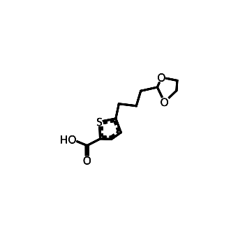 O=C(O)c1ccc(CCCC2OCCO2)s1